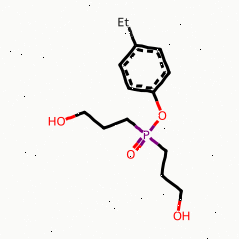 CCc1ccc(OP(=O)(CCCO)CCCO)cc1